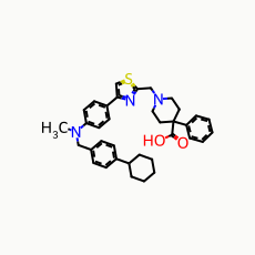 CN(Cc1ccc(C2CCCCC2)cc1)c1ccc(-c2csc(CN3CCC(C(=O)O)(c4ccccc4)CC3)n2)cc1